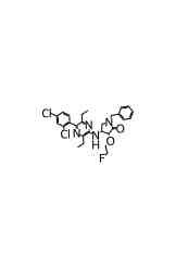 CCc1nc(-c2ccc(Cl)cc2Cl)c(CC)nc1N[C@@H]1CN(Cc2ccccc2)C(=O)[C@@H]1OCCF